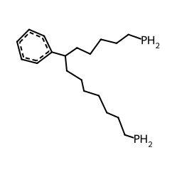 PCCCCCCCC(CCCCCP)c1ccccc1